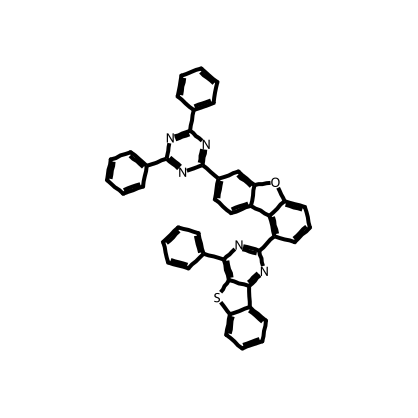 c1ccc(-c2nc(-c3ccccc3)nc(-c3ccc4c(c3)oc3cccc(-c5nc(-c6ccccc6)c6sc7ccccc7c6n5)c34)n2)cc1